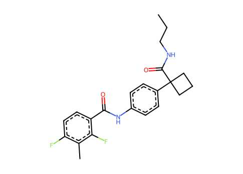 CCCNC(=O)C1(c2ccc(NC(=O)c3ccc(F)c(C)c3F)cc2)CCC1